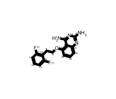 Nc1nc(N)c2c(OCCc3c(F)cccc3F)cccc2n1